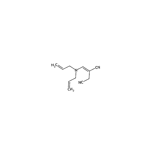 C=CCN(C=C(C#N)CC#N)CC=C